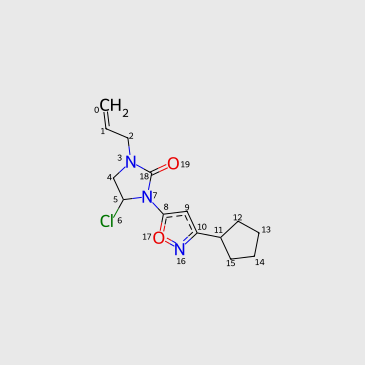 C=CCN1CC(Cl)N(c2cc(C3CCCC3)no2)C1=O